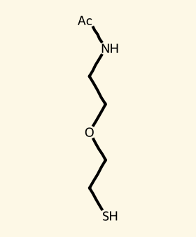 CC(=O)NCCOCCS